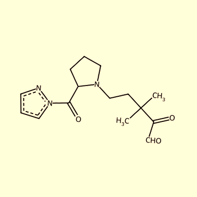 CC(C)(CCN1CCCC1C(=O)n1cccn1)C(=O)C=O